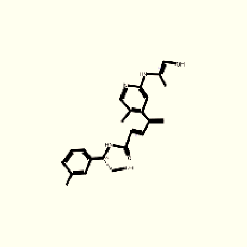 C=C(/C=C/C(=O)N[C@H](CO)c1cccc(C)c1)c1cc(N/C(C)=C/O)ncc1C